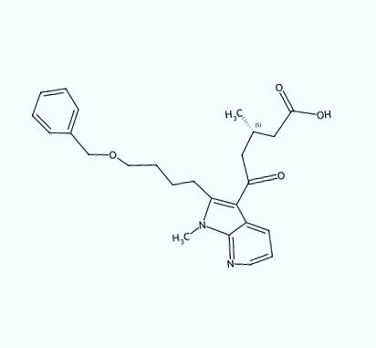 C[C@H](CC(=O)O)CC(=O)c1c(CCCCOCc2ccccc2)n(C)c2ncccc12